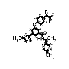 Cc1cnc([C@@H](C)NC(=O)c2cc(OC3CCN(C(F)C(F)F)CC3)cc(-c3ncc(C)s3)c2)cn1